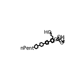 CCCCCC1CCC(C2CCC(c3ccc(-c4ccc(OCC5(CO)COC(C)(C)OC5)c(CCCO)c4)cc3)CC2)CC1